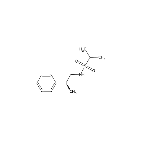 CC(C)S(=O)(=O)NC[C@@H](C)c1ccccc1